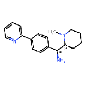 CN1CCCC[C@H]1[C@@H](N)c1ccc(-c2ccccn2)cc1